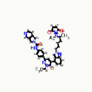 CC(=O)N(C(C)CCCCn1cc2c(-c3cc(-c4ccc(NC(=O)N5Cc6ccncc6C5)cc4)nn(CC(F)(F)F)c3=O)cccc2n1)N1C(=O)C=CC1=O